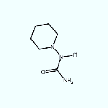 NC(=O)N(Cl)N1CCCCC1